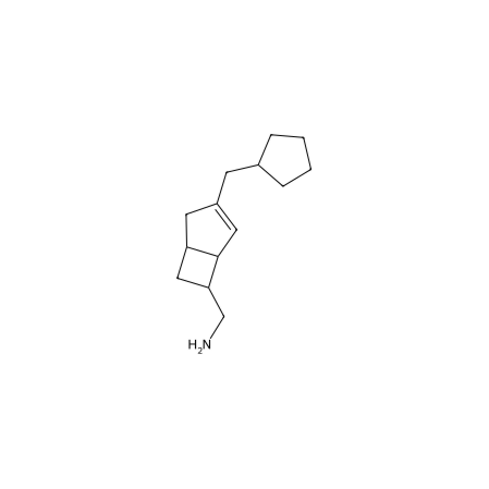 NCC1CC2CC(CC3CCCC3)=CC12